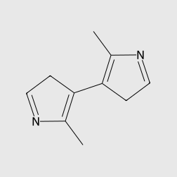 CC1=C(C2=C(C)N=CC2)CC=N1